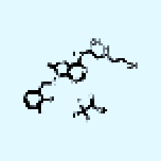 C[C@H](CNCCO)Nc1ncnc2c1sc(=O)n2SCc1cccc(F)c1F.O=C(O)C(F)(F)F